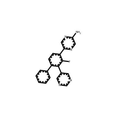 Nc1cnc(-c2ccc(-c3ccccc3)c(-c3cncnc3)c2F)cn1